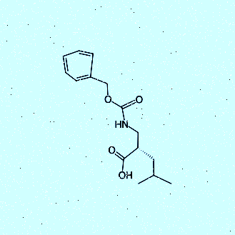 CC(C)C[C@@H](CNC(=O)OCc1ccccc1)C(=O)O